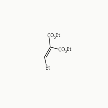 CCC=C(C(=O)OCC)C(=O)OCC